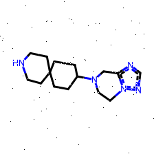 c1nc2n(n1)CCN(C1CCC3(CCNCC3)CC1)C2